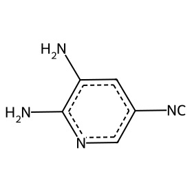 [C-]#[N+]c1cnc(N)c(N)c1